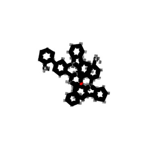 N#Cc1ccccc1-c1ccc(-c2nc(-c3ccccc3)nc(-c3cc(C(F)(F)F)ccc3-n3c4ccccc4c4ccccc43)n2)c(-n2c3ccccc3c3ccccc32)c1